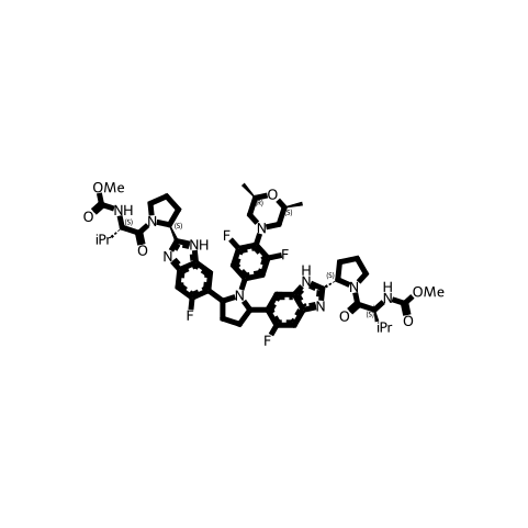 COC(=O)N[C@H](C(=O)N1CCC[C@H]1c1nc2cc(F)c(C3CCC(c4cc5[nH]c([C@@H]6CCCN6C(=O)[C@@H](NC(=O)OC)C(C)C)nc5cc4F)N3c3cc(F)c(N4C[C@@H](C)O[C@@H](C)C4)c(F)c3)cc2[nH]1)C(C)C